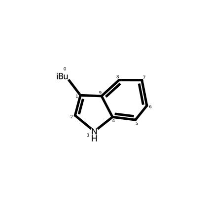 [CH2]CC(C)c1c[nH]c2ccccc12